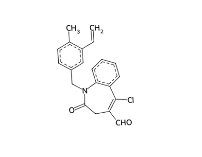 C=Cc1cc(CN2C(=O)CC(C=O)=C(Cl)c3ccccc32)ccc1C